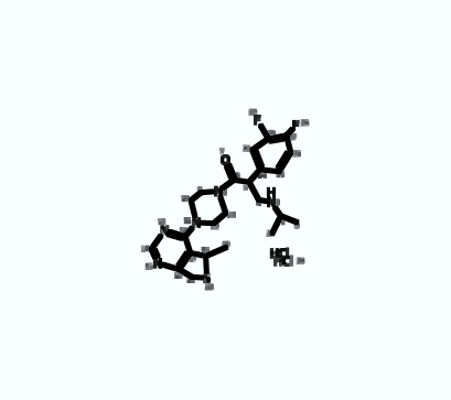 CC(C)NCC(C(=O)N1CCN(c2ncnc3c2C(C)SC3)CC1)c1ccc(F)c(F)c1.Cl.Cl